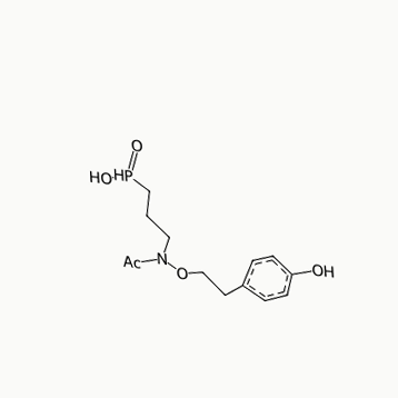 CC(=O)N(CCC[PH](=O)O)OCCc1ccc(O)cc1